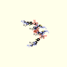 C[n+]1cc(-c2ccc(OC[C@H](O/N=C(\C(=O)N[C@@H]3C(=O)N(OS(=O)(=O)ON4C(=O)[C@@H](NC(=O)/C(=N\O[C@@H](COc5ccc(-c6ccc(NCCN)[n+](C)c6)c(F)c5)C(=O)O)c5csc(N)n5)C4(C)C)C3(C)C)c3csc(N)n3)C(=O)O)cc2F)ccc1NCCN